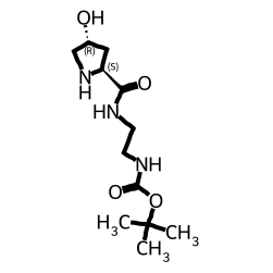 CC(C)(C)OC(=O)NCCNC(=O)[C@@H]1C[C@@H](O)CN1